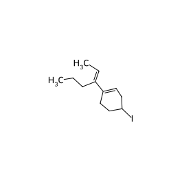 C/C=C(\CCC)C1=CCC(I)CC1